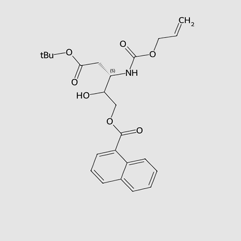 C=CCOC(=O)N[C@@H](CC(=O)OC(C)(C)C)C(O)COC(=O)c1cccc2ccccc12